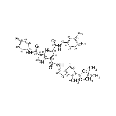 Cc1c(C(=O)OC(C)(C)C)ccc2c1CC[C@@H]2NC(=O)c1cc(C(=O)NCc2ccc(F)c(F)c2)nc2c(C(=O)Nc3ccc(F)cc3)cnn12